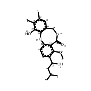 COc1c([C@@H](O)CC(C)C)ccc2c1C(=O)OCc1cc(C)c(I)c(O)c1O2